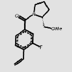 C=Cc1ccc(C(=O)N2CCC[C@@H]2COC)cc1F